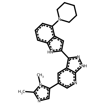 Cc1ncc(-c2cnc3[nH]nc(-c4cc5c(N6CCCCC6)cccc5[nH]4)c3c2)n1C